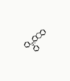 c1ccc([S+](c2ccccc2)c2ccc3c(c2)Cc2ccccc2C3)cc1